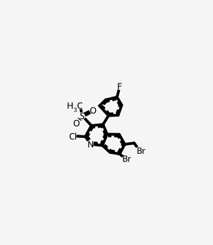 CS(=O)(=O)c1c(Cl)nc2cc(Br)c(CBr)cc2c1-c1ccc(F)cc1